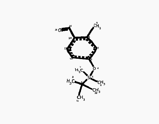 Cc1cc(O[Si](C)(C)C(C)(C)C)ccc1C=O